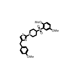 COc1ccc(Cc2csc(N3CCC(S(=O)(=O)c4cc(OC)ccc4OC)CC3)n2)cc1